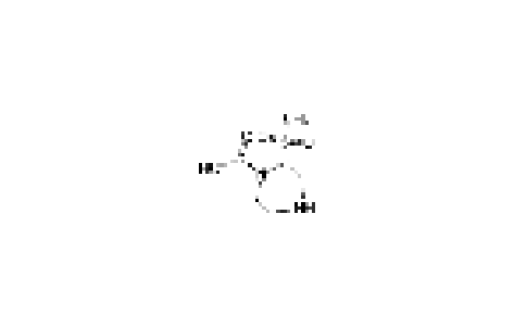 CS(=O)(=O)C1CNCCN1C(=O)O